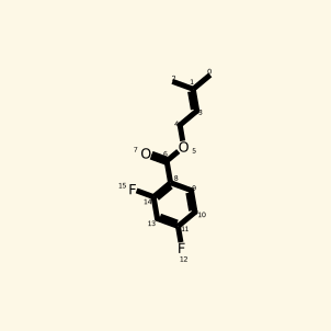 CC(C)=CCOC(=O)c1ccc(F)cc1F